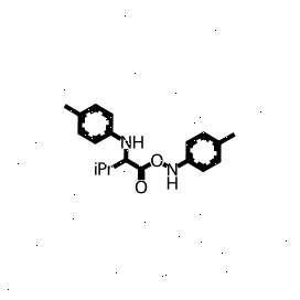 Cc1ccc(NOC(=O)C(Nc2ccc(C)cc2)C(C)C)cc1